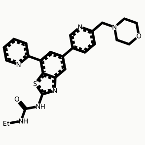 CCNC(=O)Nc1nc2cc(-c3ccc(CN4CCOCC4)nc3)cc(-c3ccccn3)c2s1